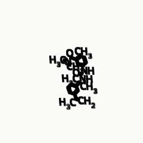 C=C(C)c1cccc(C(C)(C)NC(=O)Nc2ccc(C)c(C(=O)N(C)C)c2)c1